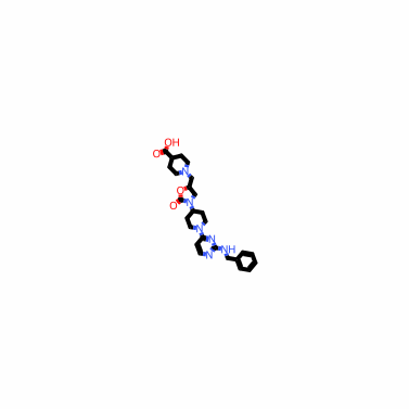 O=C(O)C1CCN(CC2CN(C3CCN(c4ccnc(NCc5ccccc5)n4)CC3)C(=O)O2)CC1